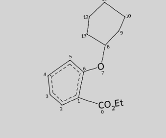 CCOC(=O)c1cc[c]cc1OC1CCCCC1